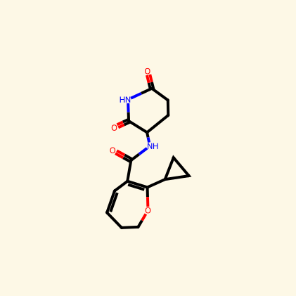 O=C1CCC(NC(=O)C2=C(C3CC3)OCCC=C2)C(=O)N1